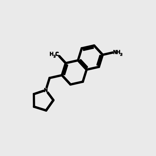 CC1=C(CN2CCCC2)CCc2cc(N)ccc21